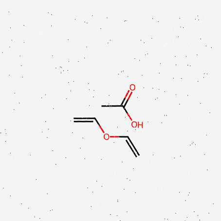 C=COC=C.CC(=O)O